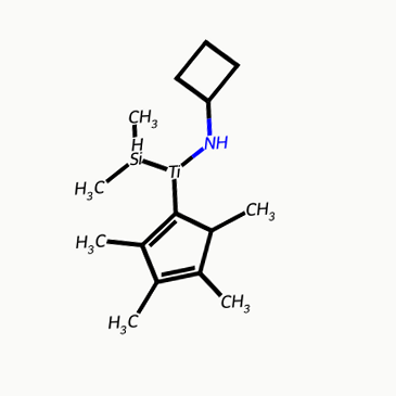 CC1=C(C)C(C)[C]([Ti]([NH]C2CCC2)[SiH](C)C)=C1C